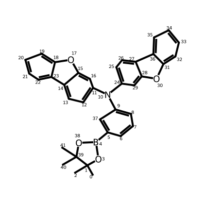 CC1(C)OB(c2cccc(N(c3ccc4c(c3)oc3ccccc34)c3ccc4c(c3)oc3ccccc34)c2)OC1(C)C